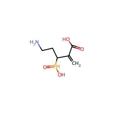 C=C(C(=O)O)C(CCN)[PH](=O)O